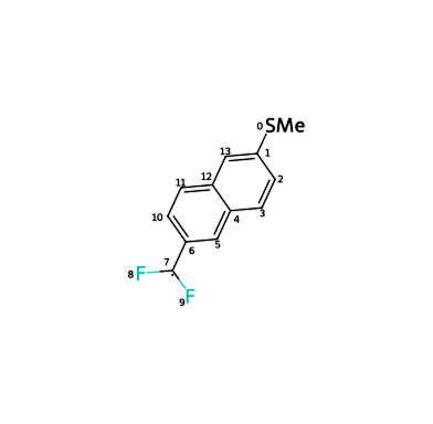 CSc1ccc2cc([C](F)F)ccc2c1